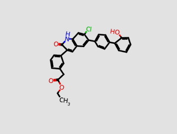 CCOC(=O)Cc1cccc(-c2cc3cc(-c4ccc(-c5ccccc5O)cc4)c(Cl)cc3[nH]c2=O)c1